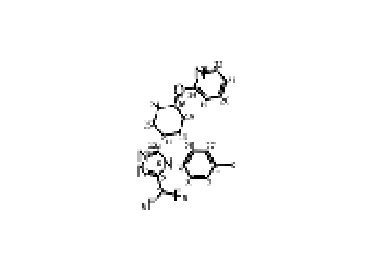 Cc1ccc(-n2c(C(F)F)nnc2[C@H]2CC[C@H](Oc3ccccn3)CC2)cc1